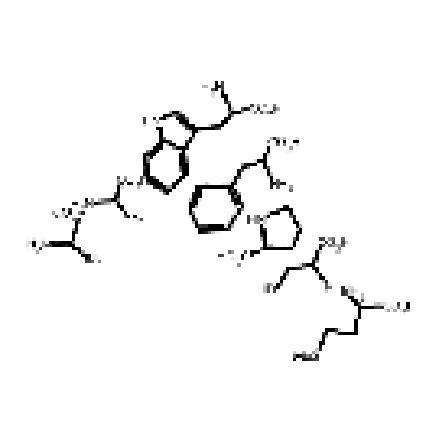 CC(C)C(N)C(=O)O.CC(C)CC(N)C(=O)O.CCC(C)C(N)C(=O)O.CSCCC(N)C(=O)O.NC(Cc1c[nH]c2ccccc12)C(=O)O.NC(Cc1ccccc1)C(=O)O.O=C(O)[C@@H]1CCCN1